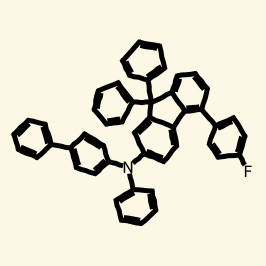 Fc1ccc(-c2cccc3c2-c2ccc(N(c4ccccc4)c4ccc(-c5ccccc5)cc4)cc2C3(c2ccccc2)c2ccccc2)cc1